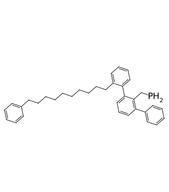 PCc1c(-c2ccccc2)cccc1-c1ccccc1CCCCCCCCCCc1ccccc1